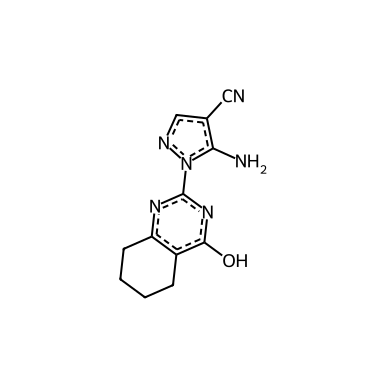 N#Cc1cnn(-c2nc(O)c3c(n2)CCCC3)c1N